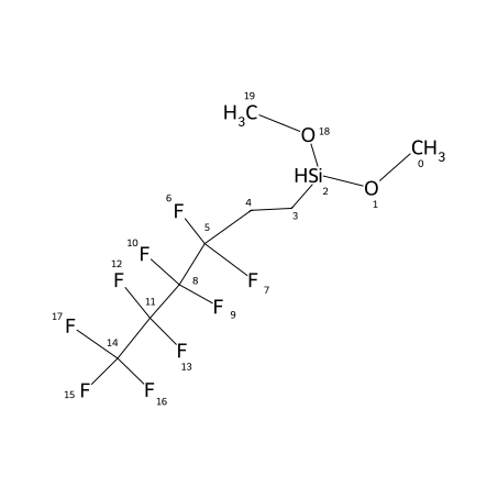 CO[SiH](CCC(F)(F)C(F)(F)C(F)(F)C(F)(F)F)OC